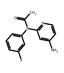 CC(=O)N(c1cccc(F)c1)c1cc(N)ccn1